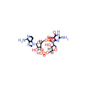 Nc1nc2c(ncn2[C@]23CO[C@H](COP(=O)(O)O[C@H]4[C@@H](O)[C@H](n5cnc6c(N)nccc65)O[C@@H]4COP(=O)(O)O2)[C@H]3O)c(=O)[nH]1